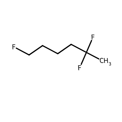 CC(F)(F)CCCCF